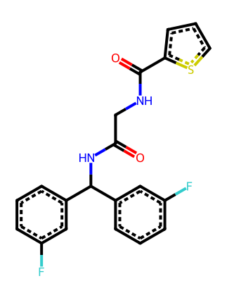 O=C(CNC(=O)c1cccs1)NC(c1cccc(F)c1)c1cccc(F)c1